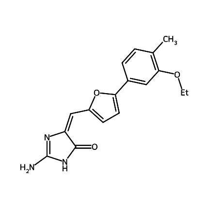 CCOc1cc(-c2ccc(/C=C3/N=C(N)NC3=O)o2)ccc1C